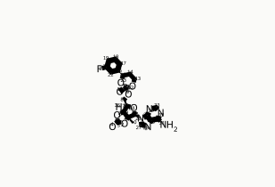 C[C@@]12OC(=O)O[C@@H]1[C@@H](COP1(=O)OCC[C@@H](c3cccc(F)c3)O1)O[C@H]2n1cnc2c(N)ncnc21